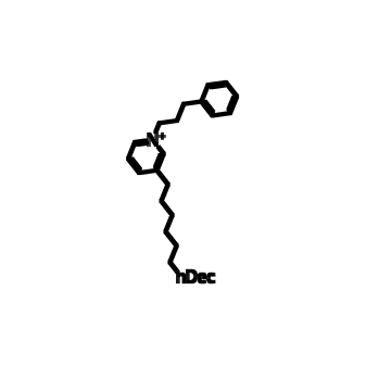 CCCCCCCCCCCCCCCCc1ccc[n+](CCCc2ccccc2)c1